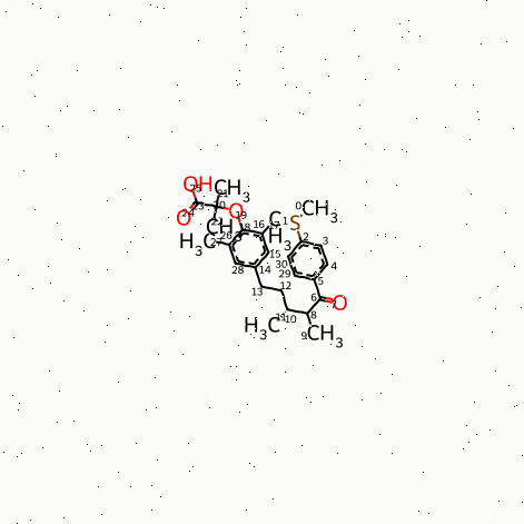 CSc1ccc(C(=O)C(C)[C@H](C)CCc2cc(C)c(OC(C)(C)C(=O)O)c(C)c2)cc1